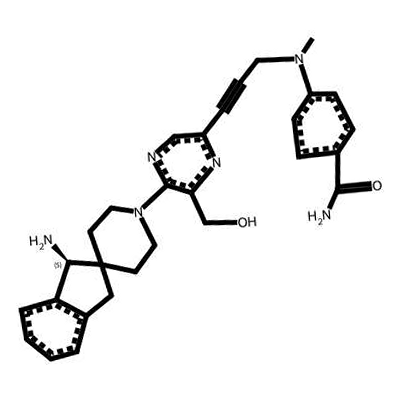 CN(CC#Cc1cnc(N2CCC3(CC2)Cc2ccccc2[C@H]3N)c(CO)n1)c1ccc(C(N)=O)cc1